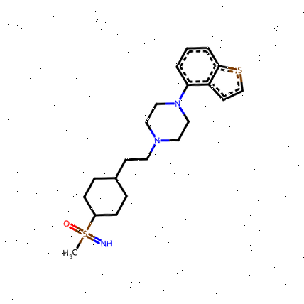 CS(=N)(=O)C1CCC(CCN2CCN(c3cccc4sccc34)CC2)CC1